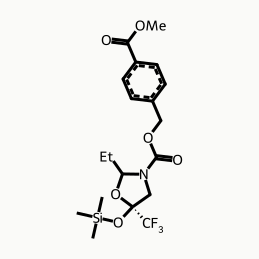 CCC1O[C@@](O[Si](C)(C)C)(C(F)(F)F)CN1C(=O)OCc1ccc(C(=O)OC)cc1